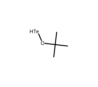 CC(C)(C)O[TeH]